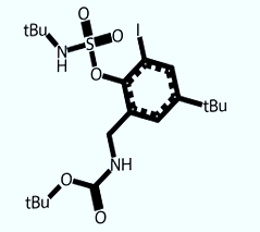 CC(C)(C)NS(=O)(=O)Oc1c(I)cc(C(C)(C)C)cc1CNC(=O)OC(C)(C)C